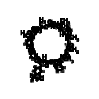 CC(C)C[C@H]1C(=O)N[C@@H](C2CC2)C(=O)N(C)CC(=O)N(C)CC(=O)N(C)[C@@H](CC2CCCCC2)C(=O)N(C)CC(=O)N[C@@H](CCc2ccc(C(F)(F)F)c(Cl)c2)C(=O)N2CCC[C@H]2C(=O)NC2(CCCC2)C(=O)N(C)[C@@H](C(C)C)C(=O)N[C@H](C)CC(=O)N1C